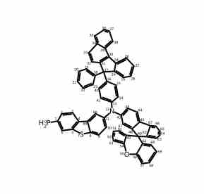 Pc1ccc2c(c1)sc1ccc(N(c3ccc(C4(c5ccccc5)c5ccccc5-c5c4ccc4ccccc54)cc3)c3ccc4c(c3)C3(c5ccccc5Oc5ccccc53)c3ccccc3-4)cc12